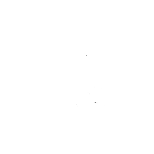 C[C@H]1CN(CC2CCCC2)CCN1C(=O)c1ccc(N[SH](=O)=O)cc1